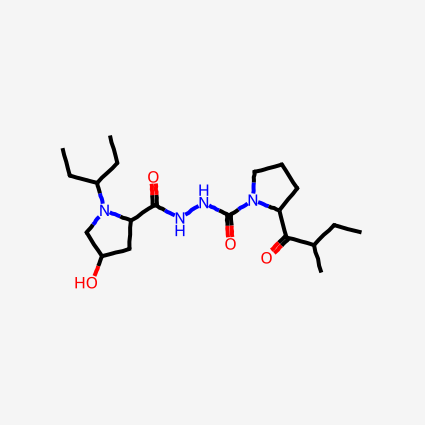 CCC(C)C(=O)C1CCCN1C(=O)NNC(=O)C1CC(O)CN1C(CC)CC